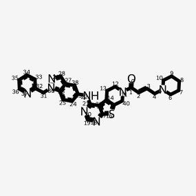 O=C(C=CCN1CCCCC1)N1CCc2c(sc3ncnc(Nc4ccc5c(cnn5Cc5ccccn5)c4)c23)C1